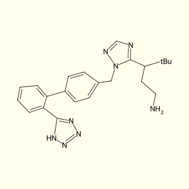 CC(C)(C)C(CCN)c1ncnn1Cc1ccc(-c2ccccc2-c2nnn[nH]2)cc1